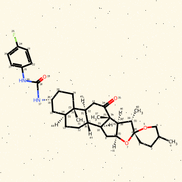 CC1CC[C@@]2(OC1)O[C@H]1C[C@H]3[C@@H]4CC[C@H]5C[C@H](NC(=O)Nc6ccc(F)cc6)CC[C@]5(C)[C@H]4CC(=O)[C@]3(C)[C@H]1[C@@H]2C